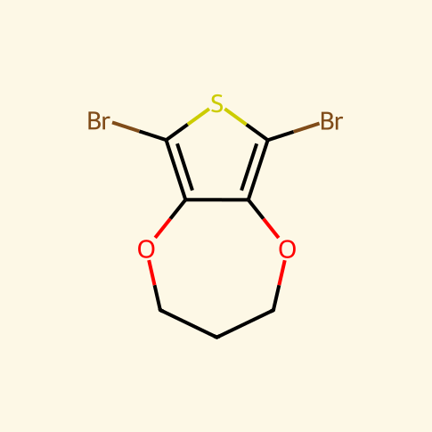 Brc1sc(Br)c2c1OCCCO2